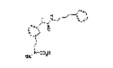 CC(C)(C)N(CCc1cccc(NC(=O)NCCCCc2ccccc2)c1)C(=O)O